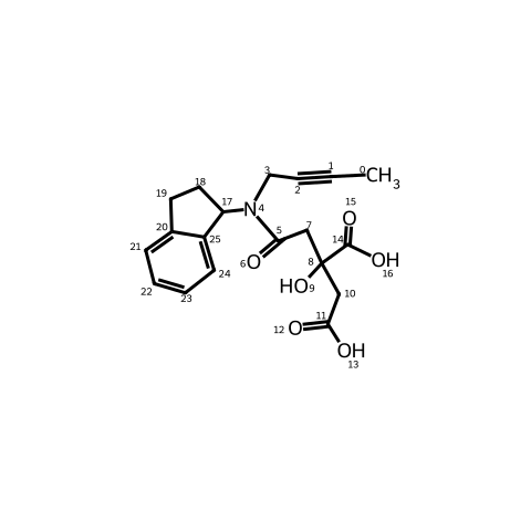 CC#CCN(C(=O)CC(O)(CC(=O)O)C(=O)O)C1CCc2ccccc21